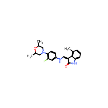 Cc1cccc2c1C(=CNc1ccc(N3CC(C)OC(C)C3)c(F)c1)C(=O)N2